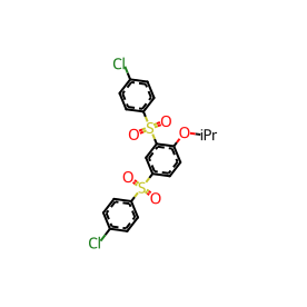 CC(C)Oc1ccc(S(=O)(=O)c2ccc(Cl)cc2)cc1S(=O)(=O)c1ccc(Cl)cc1